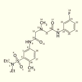 CCN(CC)S(=O)(=O)c1cc(NC(=O)CN(C)CC(=O)Nc2cccc(F)c2)ccc1C